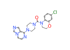 O=C(N1CCN(c2nccn3cncc23)CC1)N1CCOc2cc(Cl)ccc21